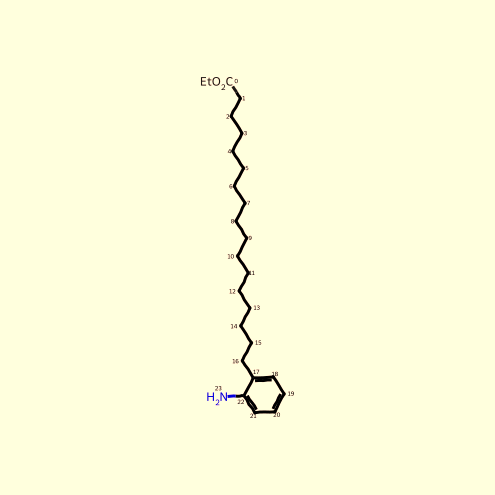 CCOC(=O)CCCCCCCCCCCCCCCCc1ccccc1N